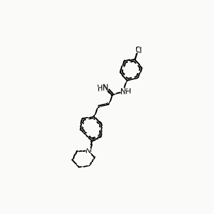 N=C(/C=C/c1ccc(N2CCCCC2)cc1)Nc1ccc(Cl)cc1